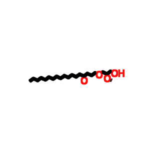 CCCCCCCCCCCCCCC(=O)CCCOCC(CO)OC